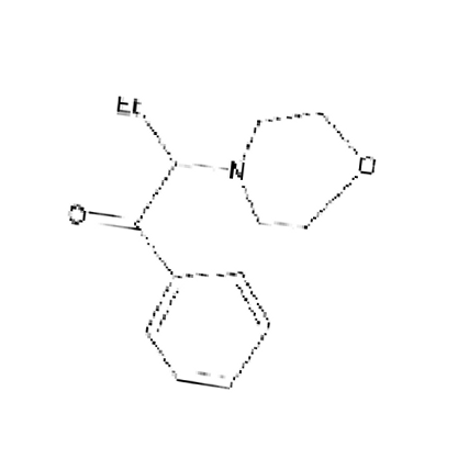 CCC(C(=O)c1ccccc1)N1CCOCC1